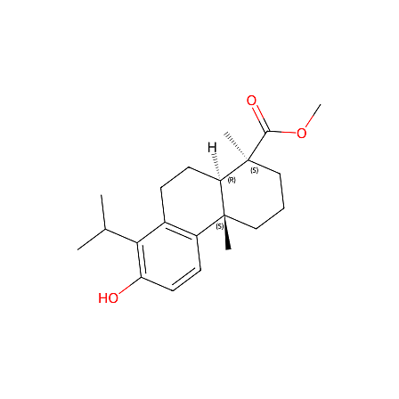 COC(=O)[C@@]1(C)CCC[C@]2(C)c3ccc(O)c(C(C)C)c3CC[C@@H]12